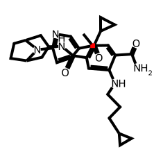 Cc1cc(C(N)=O)c(NCCCC2CC2)cc1C(=O)NC1CC2CCC(C1)N2c1ccc(C(=O)C2CC2)cn1